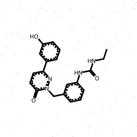 CCNC(=O)Nc1cccc(Cn2nc(-c3cccc(O)c3)ccc2=O)c1